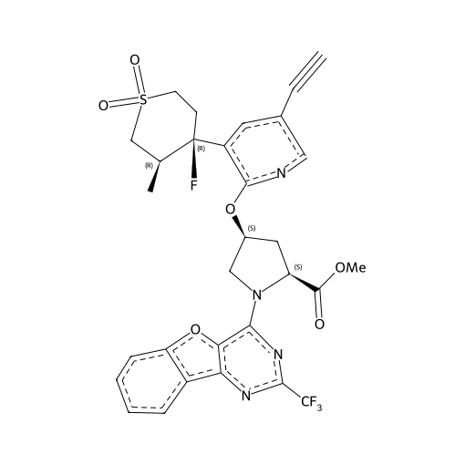 C#Cc1cnc(O[C@H]2C[C@@H](C(=O)OC)N(c3nc(C(F)(F)F)nc4c3oc3ccccc34)C2)c([C@@]2(F)CCS(=O)(=O)C[C@@H]2C)c1